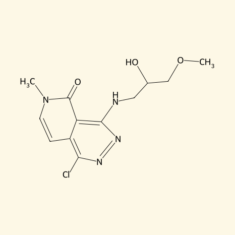 COCC(O)CNc1nnc(Cl)c2ccn(C)c(=O)c12